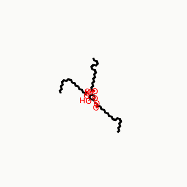 CC/C=C\C/C=C\C/C=C\CCCCCCCC(=O)O[C@H]1CO[C@H](COC(=O)CCCCCCC/C=C\C/C=C\CCCCC)[C@@H](O)[C@@H]1OC(=O)CCCCCCC/C=C\C/C=C\CCCCC